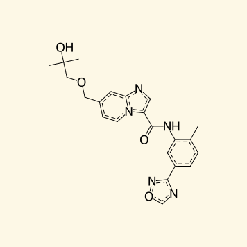 Cc1ccc(-c2ncon2)cc1NC(=O)c1cnc2cc(COCC(C)(C)O)ccn12